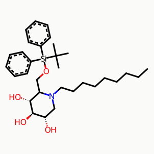 CCCCCCCCCN1C[C@H](O)[C@@H](O)[C@H](O)C1CO[Si](c1ccccc1)(c1ccccc1)C(C)(C)C